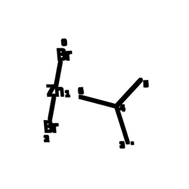 [Br][Zn][Br].[CH2]C(C)C